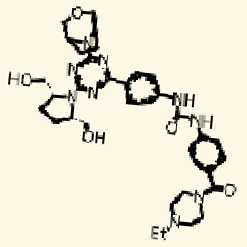 CCN1CCN(C(=O)c2ccc(NC(=O)Nc3ccc(-c4nc(N5C6CCC5COC6)nc(N5[C@H](CO)CC[C@@H]5CO)n4)cc3)cc2)CC1